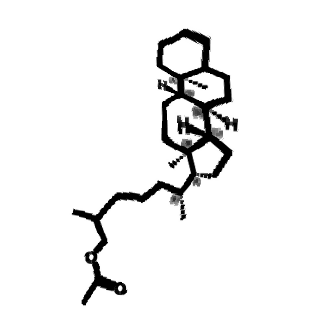 CC(=O)OCC(C)CCC[C@@H](C)[C@H]1CC[C@H]2[C@@H]3CCC4CCCC[C@]4(C)[C@H]3CC[C@]12C